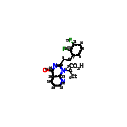 CCC(C(=O)O)n1c(CCc2cccc(F)c2F)nc(=O)c2cccnc21